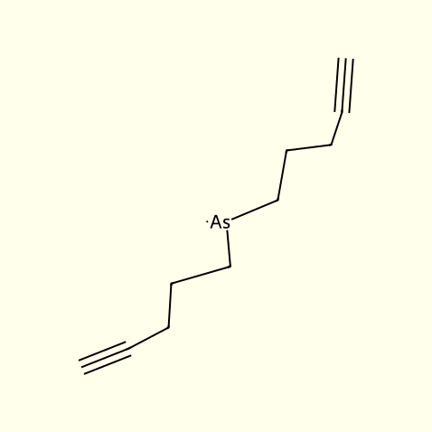 C#CCCC[As]CCCC#C